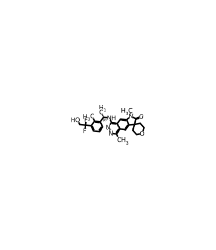 Cc1c([C@@H](C)Nc2nnc(C)c3cc4c(cc23)N(C)C(=O)C42CCOCC2)cccc1C(F)(F)CO